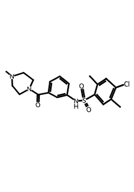 Cc1cc(S(=O)(=O)Nc2cccc(C(=O)N3CCN(C)CC3)c2)c(C)cc1Cl